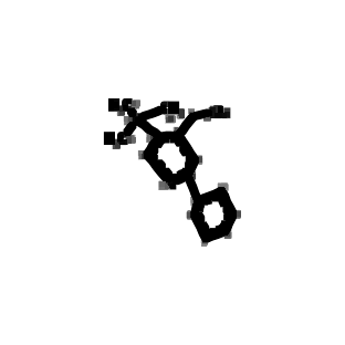 CC(C)(C)Cc1cc(-c2ccccc2)ncc1S(C)(C)C